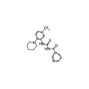 O=C(NC(=S)Nc1cc(C(F)(F)F)ccc1N1CCCCC1)c1cccnc1